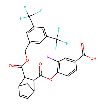 O=C(O)c1ccc(OC(=O)C2C3C=CC(C3)C2C(=O)OCc2cc(C(F)(F)F)cc(C(F)(F)F)c2)c(I)c1